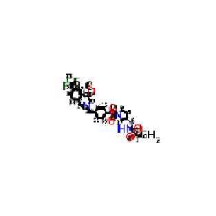 C=CS(=O)(=O)NC[C@H]1CCN(S(=O)(=O)c2ccc(CN(CCOC)Cc3ccc(C(F)(F)F)cc3)cc2)C1